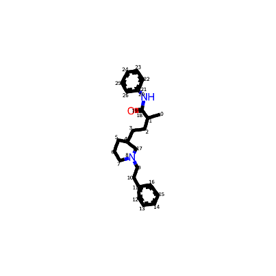 CC(CCC1CCCN(CCc2ccccc2)C1)C(=O)Nc1ccccc1